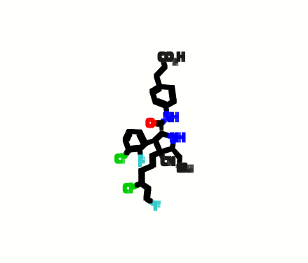 CC(C)(C)C[C@@H]1N[C@@H](C(=O)Nc2ccc(CCC(=O)O)cc2)[C@H](c2cccc(Cl)c2F)[C@@]1(C#N)/C=C/C=C(Cl)\C=C\F